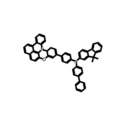 CC1(C)c2ccccc2-c2ccc(N(c3ccc(C4=CCC5C(=C4)Oc4ccc6cccc7c6c4N5c4ccccc4-7)cc3)c3ccc(-c4ccccc4)cc3)cc21